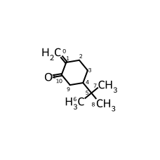 C=C1CCC(C(C)(C)C)CC1=O